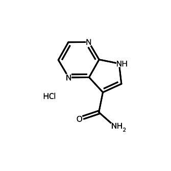 Cl.NC(=O)c1c[nH]c2nccnc12